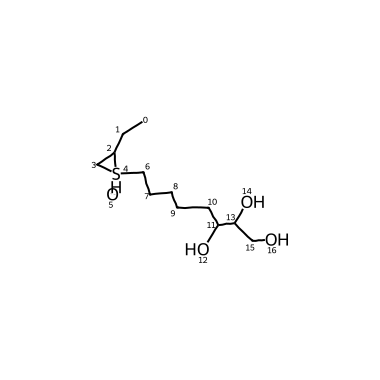 CCC1C[SH]1(=O)CCCCCC(O)C(O)CO